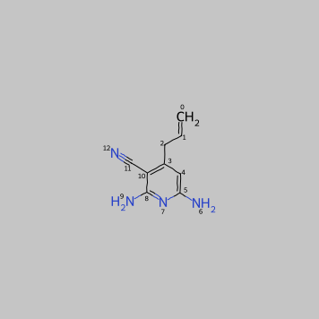 C=CCc1cc(N)nc(N)c1C#N